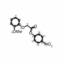 COc1ccccc1OCC(=O)Oc1ccc([N+](=O)[O-])cc1